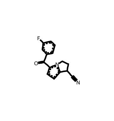 N#CC1CCn2c(C(=O)c3cccc(F)c3)ccc21